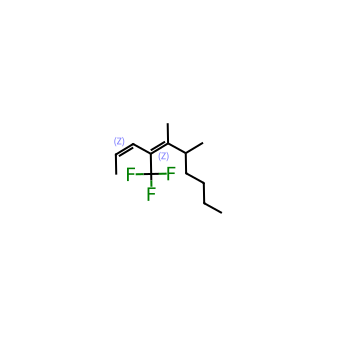 C/C=C\C(=C(/C)C(C)CCCC)C(F)(F)F